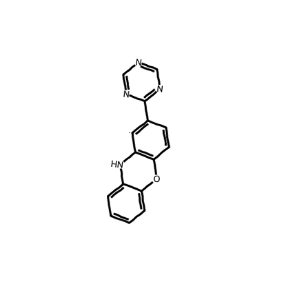 [c]1c(-c2ncncn2)ccc2c1Nc1ccccc1O2